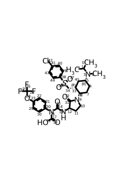 CC(C)N(C)[C@@H]1CC[C@H](N2CCC(NC(=O)N(C(=O)O)c3ccc(OC(F)(F)F)cc3)C2=O)[C@H](CS(=O)(=O)c2ccc(Cl)cc2)C1